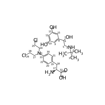 CC(C)(C)NCC(O)c1cc(O)cc(O)c1.N[C@@H](Cc1ccc(N(CCCl)CCCl)cc1)C(=O)O